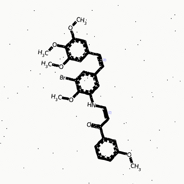 COc1cccc(C(=O)/C=C\Nc2cc(/C=C\c3cc(OC)c(OC)c(OC)c3)cc(Br)c2OC)c1